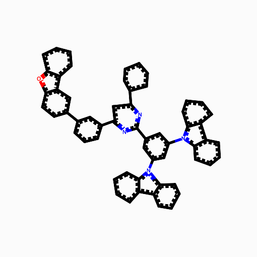 c1ccc(-c2cc(-c3cccc(-c4ccc5oc6ccccc6c5c4)c3)nc(-c3cc(-n4c5ccccc5c5ccccc54)cc(-n4c5ccccc5c5ccccc54)c3)n2)cc1